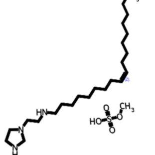 CCCCCCCC/C=C\CCCCCCCCNCCN1CCNC1.COS(=O)(=O)O